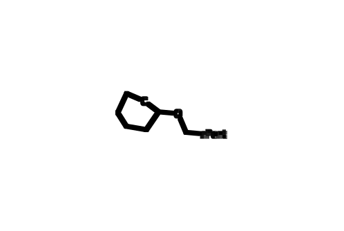 [CH2]CCCCCOC1CCCCC1